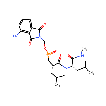 CNC(=O)[C@H](CC(C)C)NC(=O)[C@H](CC(C)C)C[PH](=O)OCN1C(=O)c2cccc(N)c2C1=O